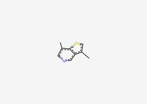 Cc1csc2c(C)cncc12